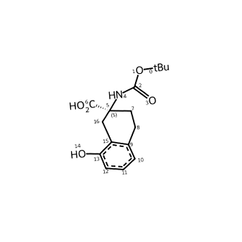 CC(C)(C)OC(=O)N[C@@]1(C(=O)O)CCc2cccc(O)c2C1